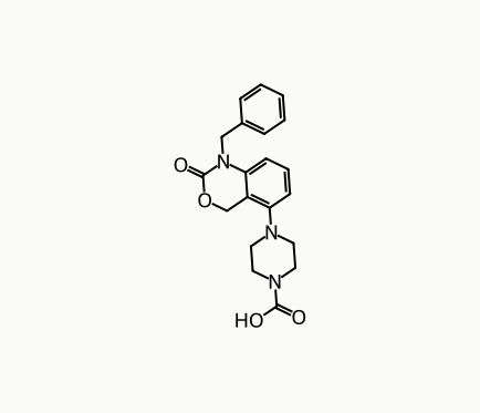 O=C(O)N1CCN(c2cccc3c2COC(=O)N3Cc2ccccc2)CC1